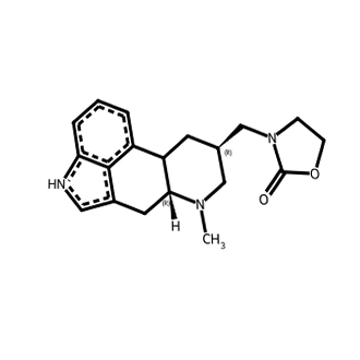 CN1C[C@H](CN2CCOC2=O)CC2c3cccc4[nH]cc(c34)C[C@H]21